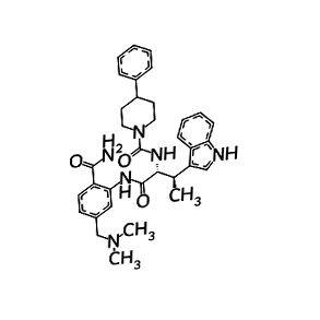 C[C@H](c1c[nH]c2ccccc12)[C@@H](NC(=O)N1CCC(c2ccccc2)CC1)C(=O)Nc1cc(CN(C)C)ccc1C(N)=O